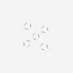 Nc1ccc(Oc2cc(-c3ccccc3)c(Oc3cccc(N)c3)cc2-c2ccccc2)cc1